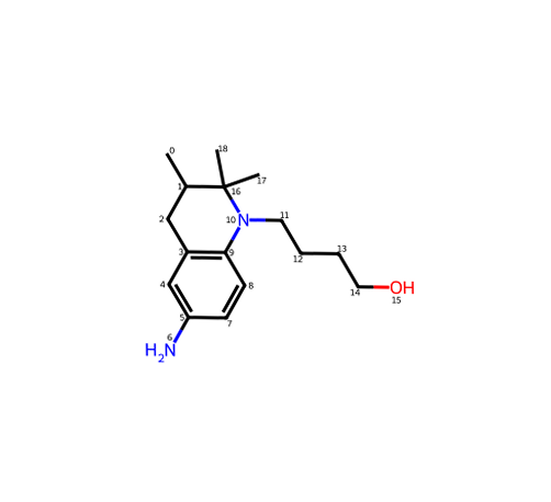 CC1Cc2cc(N)ccc2N(CCCCO)C1(C)C